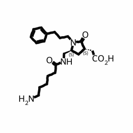 NCCCCCC(=O)NC[C@@H]1C[C@@H](CC(=O)O)C(=O)N1CCCc1ccccc1